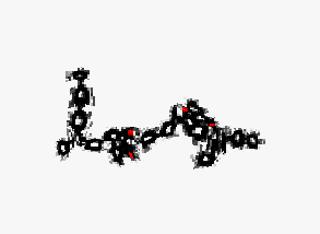 c1ccc(-c2ccc(-c3ccc(-c4nc(-c5ccccc5)nc(-c5cccc(-c6cccc7c6-c6ccccc6C76c7ccccc7N(c7ccc(-c8ccc9c(c8)c8cccc%10c8n9-c8ccccc8C%108c9ccccc9-c9ccc(-c%10nc(-c%11ccccc%11)nc(-c%11ccc(-c%12ccccc%12)cc%11)n%10)cc98)cc7)c7ccccc76)c5)n4)cc3)cc2)cc1